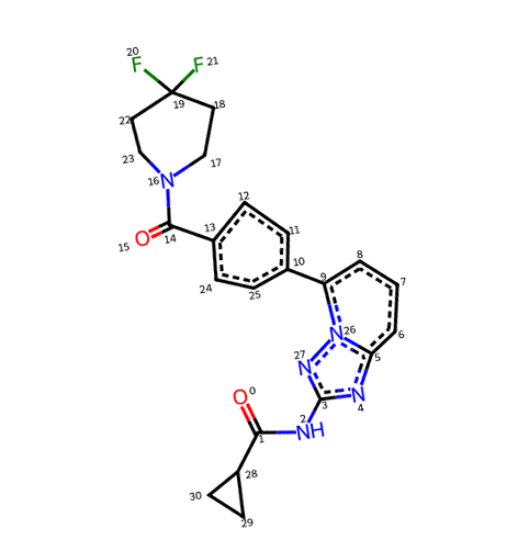 O=C(Nc1nc2cccc(-c3ccc(C(=O)N4CCC(F)(F)CC4)cc3)n2n1)C1CC1